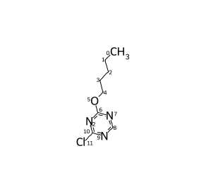 CCCCCOc1ncnc(Cl)n1